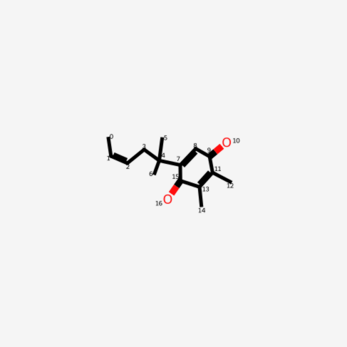 C/C=C\CC(C)(C)C1=CC(=O)C(C)=C(C)C1=O